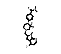 CN(C)C(=O)c1ccc([C@@H]2CCN(Cc3cc4c(Br)ccnc4n3C)CC2(F)F)cc1